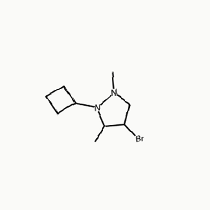 CC1C(Br)CN(C)N1C1CCC1